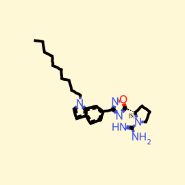 CCCCCCCCCCn1ccc2ccc(-c3noc([C@@H]4CCCN4C(=N)N)n3)cc21